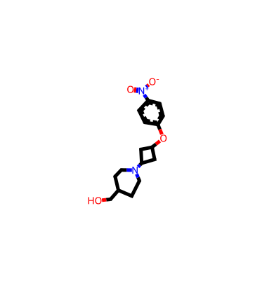 O=[N+]([O-])c1ccc(OC2CC(N3CCC(CO)CC3)C2)cc1